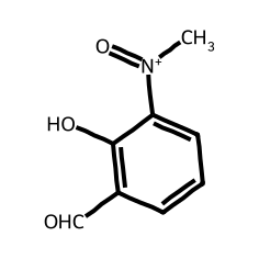 C[N+](=O)c1cccc(C=O)c1O